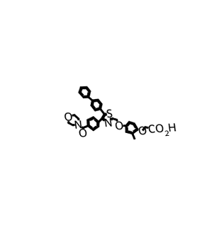 Cc1cc(OCc2nc(-c3ccc(C(=O)N4CCOCC4)cc3)c(-c3ccc(-c4ccccc4)cc3)s2)ccc1OCC(=O)O